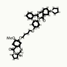 COc1cc2c(cc1OCCCCOc1ccc(-n3c(-c4ccccc4)nc4ccc(N5CCCC5)cc4c3=O)cc1)N=C[C@@H]1CCCN1C2=O